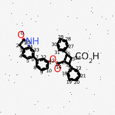 O=C1Cc2ccc(-c3cccc(OC(=O)C4C(c5ccccc5)[C@@H](C(=O)O)[C@@H]4c4ccccc4)c3)cc2N1